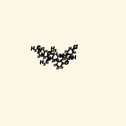 Cc1cc(NC(=C2C(=O)Nc3cc(Cl)ccc32)c2ccccc2)ccc1N(C)C(=O)CN1CCN(C)CC1